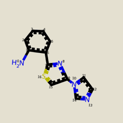 Nc1ccccc1-c1nc(-n2ccnc2)cs1